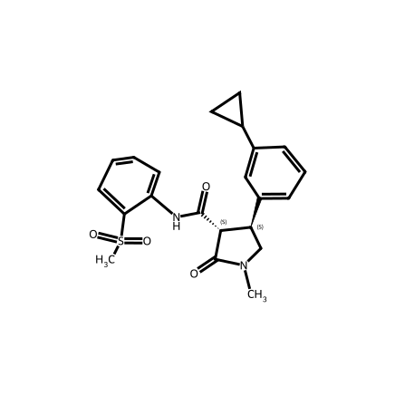 CN1C[C@H](c2cccc(C3CC3)c2)[C@@H](C(=O)Nc2ccccc2S(C)(=O)=O)C1=O